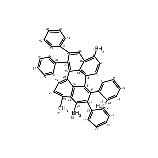 Bc1ccc2c3c(-c4ccccc4C)c(-c4ccccc4)c(B)c4c(C)ccc(c5c(-c6ccccc6)c(-c6ccccc6)cc1c25)c43